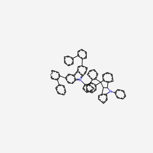 c1ccc(-c2ccccc2-c2ccc3c(c2)c2cc(-c4ccccc4-c4ccccc4)ccc2n3-c2ccccc2-c2ccccc2C2(c3ccccc3)c3ccccc3C3C2c2ccccc2N3c2ccccc2)cc1